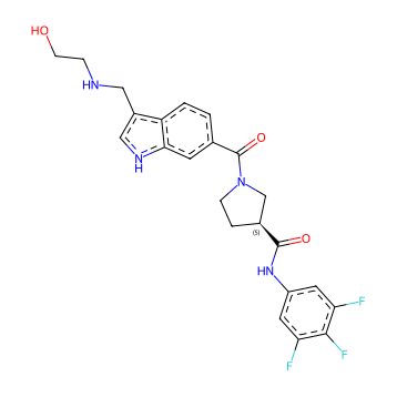 O=C(Nc1cc(F)c(F)c(F)c1)[C@H]1CCN(C(=O)c2ccc3c(CNCCO)c[nH]c3c2)C1